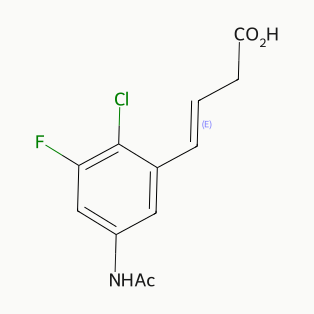 CC(=O)Nc1cc(F)c(Cl)c(/C=C/CC(=O)O)c1